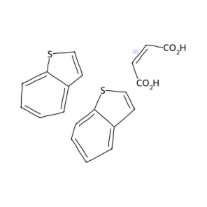 O=C(O)/C=C\C(=O)O.c1ccc2sccc2c1.c1ccc2sccc2c1